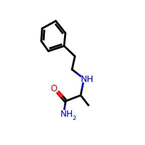 CC(NCCc1ccccc1)C(N)=O